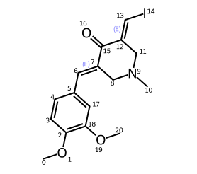 COc1ccc(/C=C2\CN(C)C/C(=C\I)C2=O)cc1OC